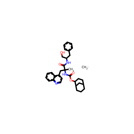 CC(Cc1ccnc2ccccc12)(NC(=O)OC1CCC2CCCC1C2)C(=O)NC(CO)Cc1ccccc1.[CH2]